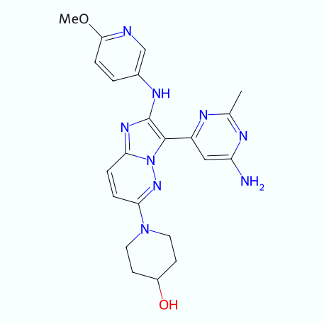 COc1ccc(Nc2nc3ccc(N4CCC(O)CC4)nn3c2-c2cc(N)nc(C)n2)cn1